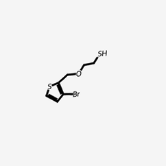 SCCOCc1sccc1Br